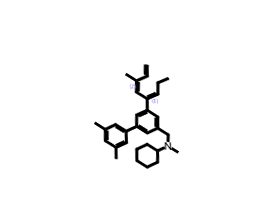 C=C/C(C)=C\C(=C/CC)c1cc(CN(C)C2CCCCC2)cc(-c2cc(C)cc(C)c2)c1